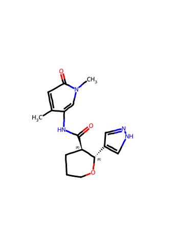 Cc1cc(=O)n(C)cc1NC(=O)[C@@H]1CCCO[C@H]1c1cn[nH]c1